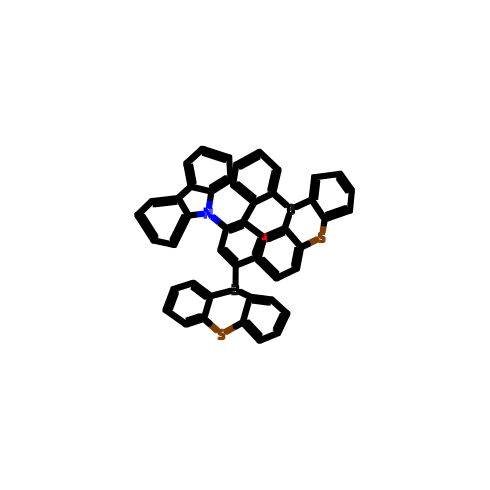 c1ccc2c(c1)Sc1ccccc1B2c1ccc(-c2ccccc2B2c3ccccc3Sc3ccccc32)c(-n2c3ccccc3c3ccccc32)c1